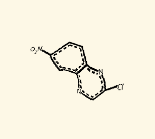 O=[N+]([O-])c1ccc2nc(Cl)cnc2c1